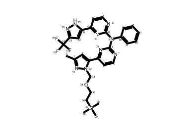 Cc1cc(-c2ccnc(N(c3ccccc3)c3nccc(-c4cc(C(F)(F)F)n[nH]4)n3)n2)n(COCC[Si](C)(C)C)n1